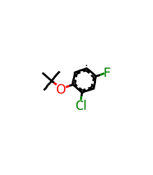 CC(C)(C)Oc1c[c]c(F)cc1Cl